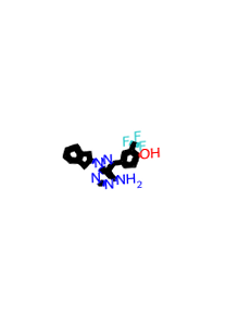 Nc1ncnc2c1c(-c1ccc(O)c(C(F)(F)F)c1)nn2C1Cc2ccccc2C1